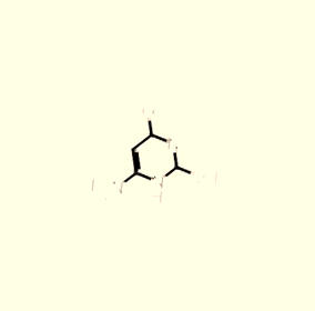 NC1=CC(O)NC(O)N1